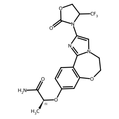 C[C@H](Oc1ccc2c(c1)OCCn1cc(N3C(=O)OCC3C(F)(F)F)nc1-2)C(N)=O